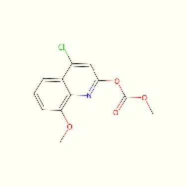 COC(=O)Oc1cc(Cl)c2cccc(OC)c2n1